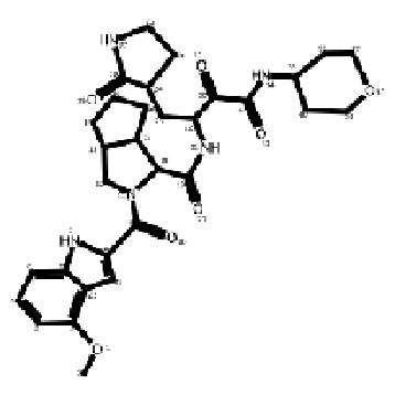 COc1cccc2[nH]c(C(=O)N3CC4CCCC4C3C(=O)NC(CC3CCNC3=O)C(=O)C(=O)NC3CCOCC3)cc12